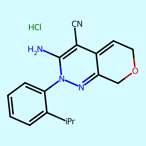 CC(C)c1ccccc1N1N=C2COCC=C2C(C#N)=C1N.Cl